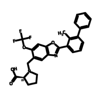 Cc1c(-c2ccccc2)cccc1-c1nc2cc(CN3CCC[C@H]3C(=O)O)c(OC(F)(F)F)cc2o1